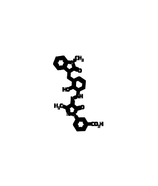 CC1=NN(c2cccc(C(=O)O)c2)C(=O)/C1=N\NC1CC=CC(CC2C(=O)N(C)c3ccccc32)=C1O